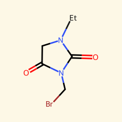 CCN1CC(=O)N(CBr)C1=O